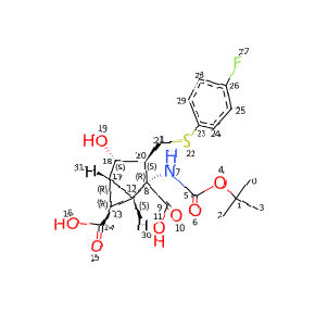 CC(C)(C)OC(=O)N[C@]1(C(=O)O)[C@@H]2[C@@H](C(=O)O)[C@@H]2[C@H](O)[C@H]1CSc1ccc(F)cc1